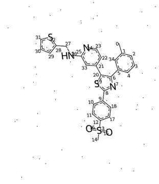 Cc1cccc(-c2nc(-c3ccc(S(C)(=O)=O)cc3)sc2-c2ccnc(NCc3cccs3)c2)c1